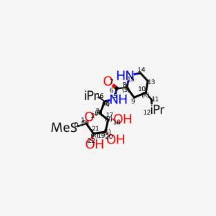 CS[C@H]1O[C@H]([C@H](NC(=O)[C@@H]2C[C@H](CC(C)C)CCN2)C(C)C)[C@H](O)[C@H](O)[C@H]1O